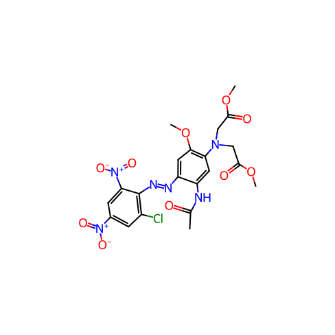 COC(=O)CN(CC(=O)OC)c1cc(NC(C)=O)c(/N=N/c2c(Cl)cc([N+](=O)[O-])cc2[N+](=O)[O-])cc1OC